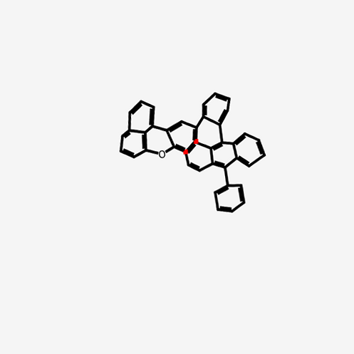 c1ccc(-c2c3ccccc3c(-c3ccccc3-c3ccc4c(c3)-c3cccc5cccc(c35)O4)c3ccccc23)cc1